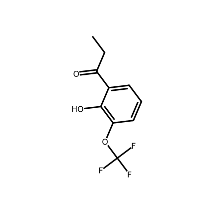 CCC(=O)c1cccc(OC(F)(F)F)c1O